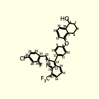 OC1CCCc2c(Oc3ccc(-c4c5cccc(C(F)(F)F)c5nn4Cc4ccc(Cl)cc4F)cc3)cccc21